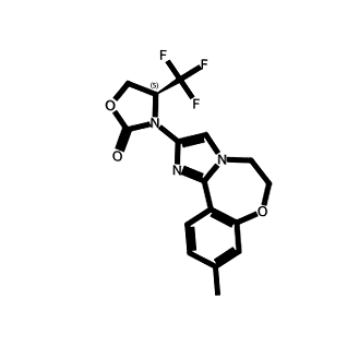 Cc1ccc2c(c1)OCCn1cc(N3C(=O)OC[C@H]3C(F)(F)F)nc1-2